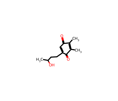 CC1=C(C)C(=O)C(CCC(C)O)=CC1=O